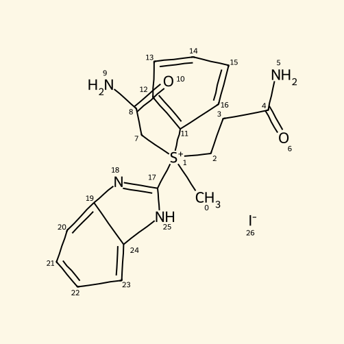 C[S+](CCC(N)=O)(CC(N)=O)(c1ccccc1)c1nc2ccccc2[nH]1.[I-]